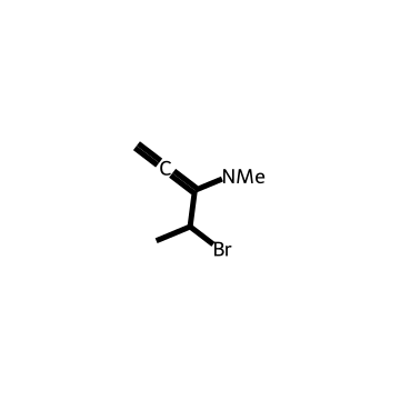 C=C=C(NC)C(C)Br